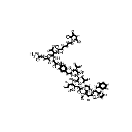 CC[C@H](C)[C@@H]([C@@H](CC(=O)N1CCC[C@H]1[C@H](OC)[C@@H](C)C(=O)N[C@@H](Cc1ccccc1)c1nccs1)OC)N(C)C(=O)[C@H](CC(C)C)NC(=O)[C@H](C(C)C)N(C)CCc1ccc(NC(=O)[C@H](CCCNC(N)=O)NC(=O)[C@@H](NC(=O)CCCCCN2C(=O)CC(C)C2=O)C(C)C)cc1